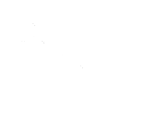 CN(C)C(=O)N1CCC2(CCN(C3CC4CCCCC4C3)CC2)c2ccccc21